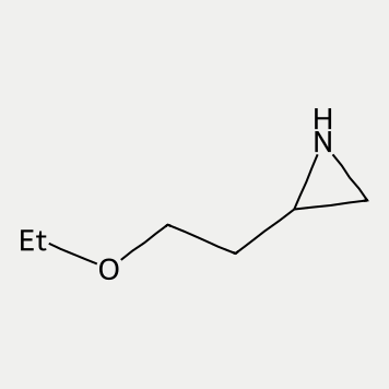 [CH2]COCCC1CN1